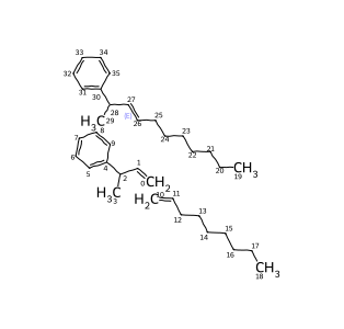 C=CC(C)c1ccccc1.C=CCCCCCCC.CCCCCCC/C=C/C(C)c1ccccc1